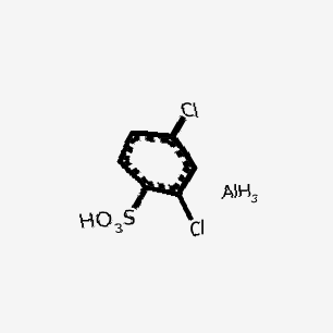 O=S(=O)(O)c1ccc(Cl)cc1Cl.[AlH3]